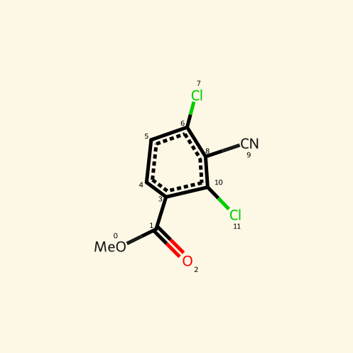 COC(=O)c1ccc(Cl)c(C#N)c1Cl